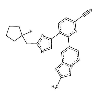 Cc1cn2ccc(-c3nc(C#N)ccc3-c3cnc(CC4(F)CCCC4)o3)cc2n1